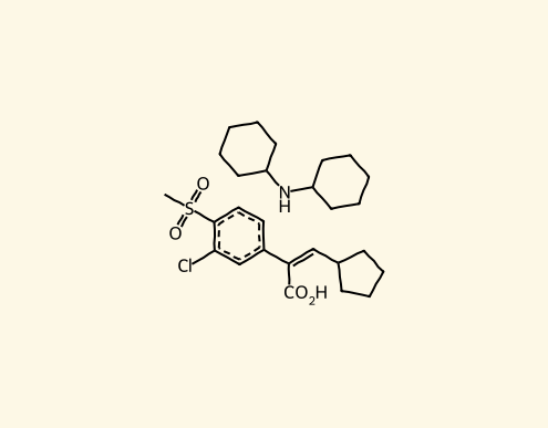 C1CCC(NC2CCCCC2)CC1.CS(=O)(=O)c1ccc(C(=CC2CCCC2)C(=O)O)cc1Cl